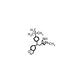 CN/C=C(\C=N)CC(c1ccc(S(C)(C)C)cc1)c1ccc2c(c1)CCO2